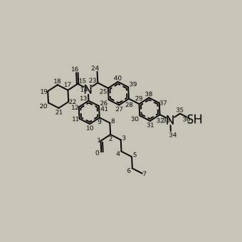 C=CC(CCCCC)Cc1cccc(N(C(=C)C2CCCCC2)C(C)c2ccc(-c3ccc(N(C)CS)cc3)cc2)c1